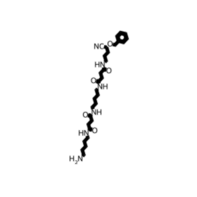 N#CC(CCCNC(=O)CCC(=O)NCCCCCNC(=O)CCC(=O)NCCCCCN)OCc1ccccc1